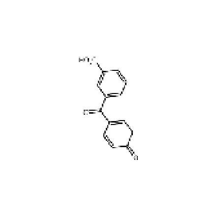 O=C1C=CC(C(=O)c2cccc(C(=O)O)c2)=CC1